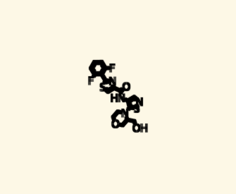 O=C(Nc1cnsc1N1CCOCC1CO)c1csc(-c2c(F)cccc2F)n1